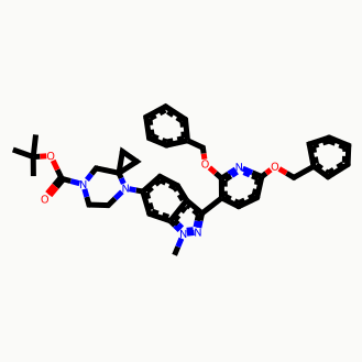 Cn1nc(-c2ccc(OCc3ccccc3)nc2OCc2ccccc2)c2ccc(N3CCN(C(=O)OC(C)(C)C)CC34CC4)cc21